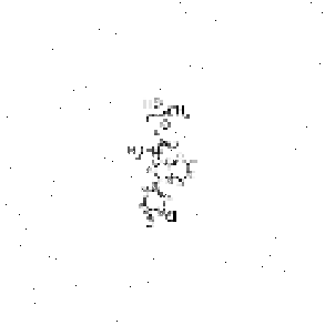 CN(C(=O)COP(C)(=O)O)[C@@H]1C[C@@H](c2ccc(Cl)c(Cl)c2)c2ccccc21